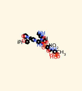 CC(C)Oc1ccccc1[C@@H]1COCCCN1C1CC2(CCN(c3ccc(C(=O)NS(=O)(=O)c4cc5c(c([N+](=O)[O-])c4)N[C@H](C4CCC(C)(OP(=O)(O)O)CC4)CO5)c(N4c5cc6cc[nH]c6nc5O[C@H]5COCC[C@@H]54)c3)CC2)C1